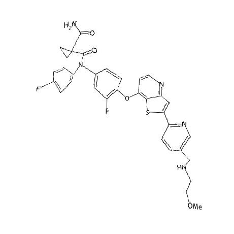 COCCNCc1ccc(-c2cc3nccc(Oc4ccc(N(C(=O)C5(C(N)=O)CC5)c5ccc(F)cc5)cc4F)c3s2)nc1